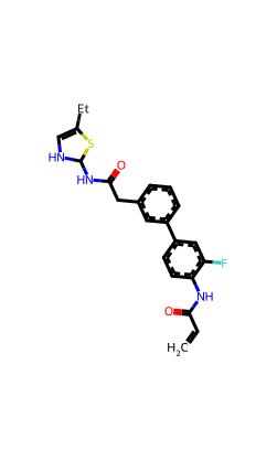 C=CC(=O)Nc1ccc(-c2cccc(CC(=O)NC3NC=C(CC)S3)c2)cc1F